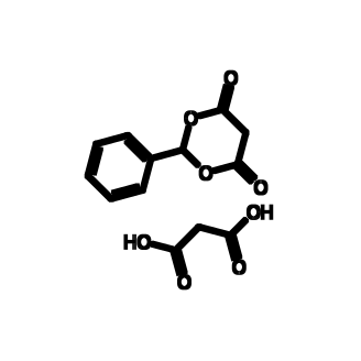 O=C(O)CC(=O)O.O=C1CC(=O)OC(c2ccccc2)O1